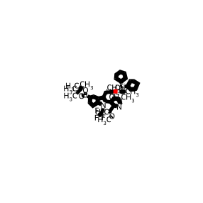 COC(C)c1ncccc1-c1c(CC(C)(C)CO[Si](c2ccccc2)(c2ccccc2)C(C)(C)C)c2cc(B3OC(C)(C)C(C)(C)O3)ccc2n1CC(F)(F)F